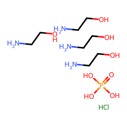 Cl.NCCO.NCCO.NCCO.NCCO.O=P(O)(O)O